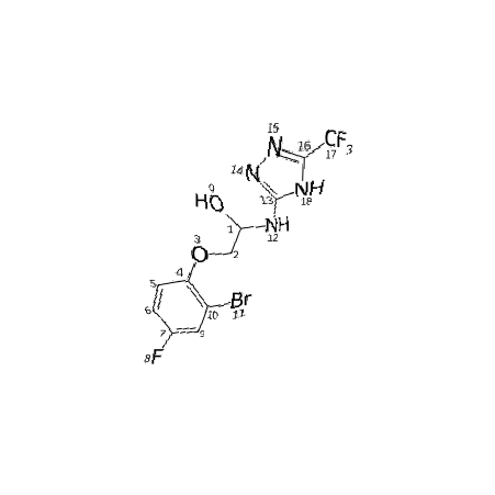 OC(COc1ccc(F)cc1Br)Nc1nnc(C(F)(F)F)[nH]1